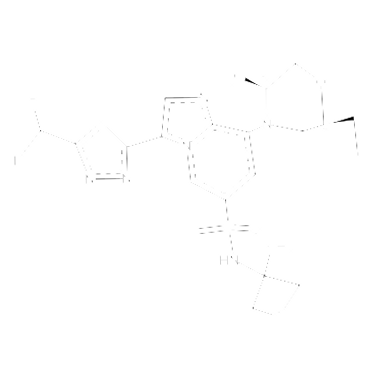 C[C@H]1CO[C@@H](CO)CN1c1cc(S(=O)(=O)NC2(C)COC2)cn2c(-c3nnc(C(F)F)s3)cnc12